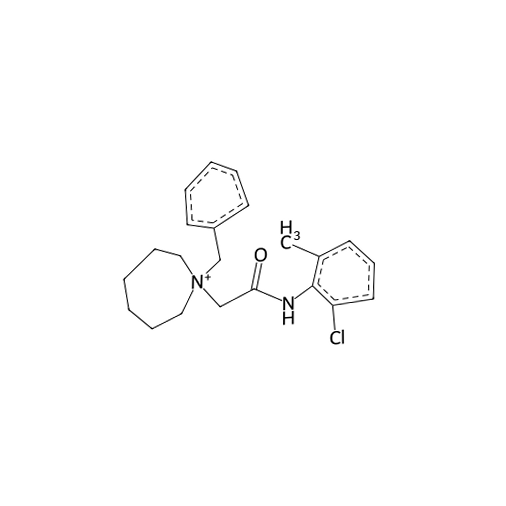 Cc1cccc(Cl)c1NC(=O)C[N+]1(Cc2ccccc2)CCCCCC1